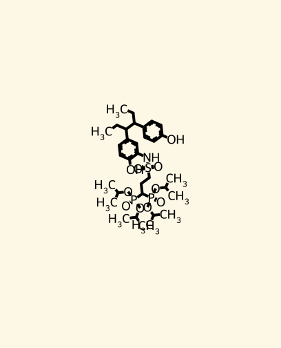 CCC(c1ccc(O)cc1)C(CC)c1ccc(O)c(NS(=O)(=O)CCC(P(=O)(OC(C)C)OC(C)C)P(=O)(OC(C)C)OC(C)C)c1